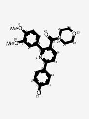 COc1ccc(-c2nc(-c3ccc(Cl)cc3)ccc2C(=O)N2CCOCC2)cc1OC